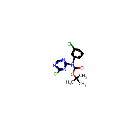 CC(C)(C)OC(=O)N(c1cccc(Cl)c1)c1ncnc(Cl)n1